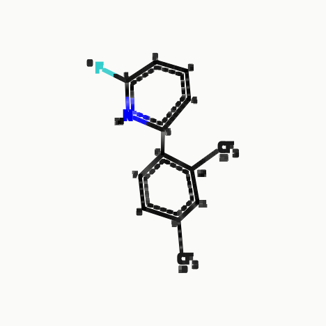 Fc1cccc(-c2ccc(C(F)(F)F)cc2C(F)(F)F)n1